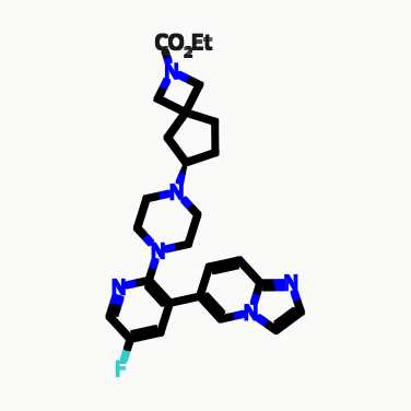 CCOC(=O)N1CC2(CC[C@@H](N3CCN(c4ncc(F)cc4-c4ccc5nccn5c4)CC3)C2)C1